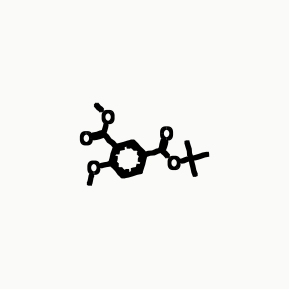 COC(=O)c1cc(C(=O)OC(C)(C)C)ccc1OC